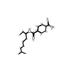 CCC(CCCCC(C)C)OC(=O)C1CCC(C(=O)O)CC1